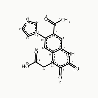 CC(=O)c1cc2[nH]c(=O)c(=O)n(CC(=O)O)c2cc1-n1ccnc1